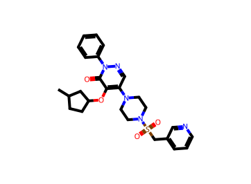 CC1CCC(Oc2c(N3CCN(S(=O)(=O)Cc4cccnc4)CC3)cnn(-c3ccccc3)c2=O)C1